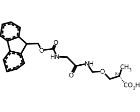 C[C@@H](COCNC(=O)CNC(=O)OCC1c2ccccc2-c2ccccc21)C(=O)O